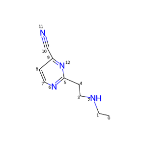 CCNCCc1nccc(C#N)n1